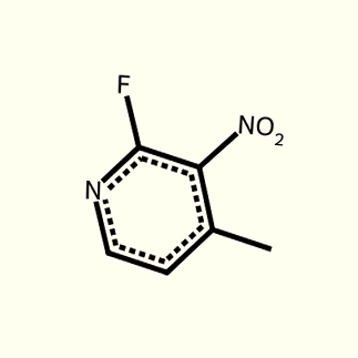 Cc1ccnc(F)c1[N+](=O)[O-]